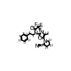 Cc1nc(N(CCc2ccccc2)C(=O)C(F)(F)F)oc1N1CCC[C@H]1C#N